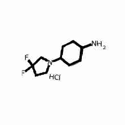 Cl.NC1CCC(N2CCC(F)(F)C2)CC1